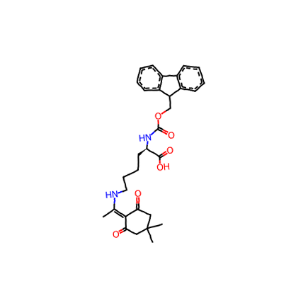 CC(NCCCC[C@@H](NC(=O)OCC1c2ccccc2-c2ccccc21)C(=O)O)=C1C(=O)CC(C)(C)CC1=O